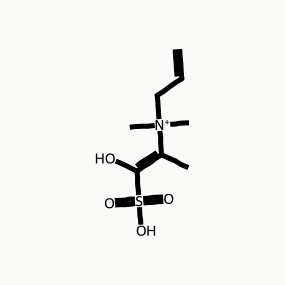 C=CC[N+](C)(C)C(C)=C(O)S(=O)(=O)O